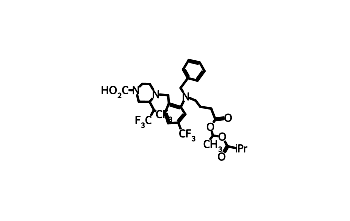 CC(OC(=O)CCCN(Cc1ccccc1)c1cc(C(F)(F)F)ccc1CN1CCN(C(=O)O)CC1C(C(F)(F)F)C(F)(F)F)OC(=O)C(C)C